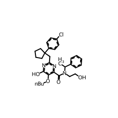 CCCCOc1c(O)nc(CC2(c3ccc(Cl)cc3)CCCC2)nc1C(=O)N(CCO)C(C)c1ccccc1